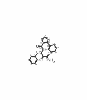 NC(=O)C(=O)[C@H](Cc1ccccc1)NC(=O)c1scnc1-c1ccccn1